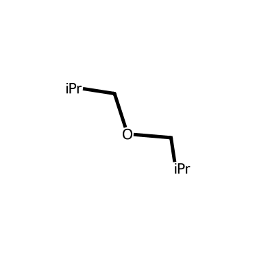 [CH2]C(C)COCC(C)C